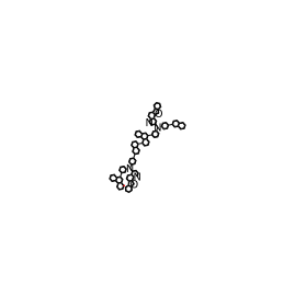 c1cc(-c2cc3ccccc3c3c(-c4cccc5cc(-c6ccc(N(c7cccc(-c8cc9ccccc9c9ccccc89)c7)c7ccnc8c7ccc7c9ccccc9oc78)cc6)ccc45)cccc23)cc(N(c2ccc(-c3ccc4ccccc4c3)cc2)c2cnc3ccc4c5ccccc5oc4c3c2)c1